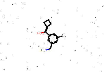 NCc1cc(C(O)=C2CCC2)cc(C(F)(F)F)c1